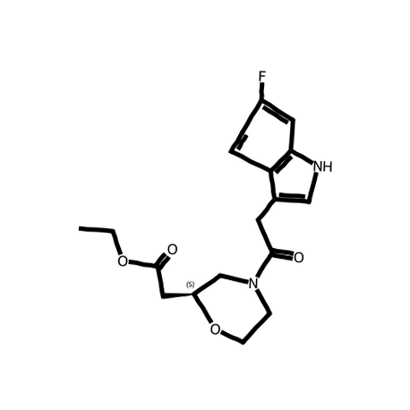 CCOC(=O)C[C@H]1CN(C(=O)Cc2c[nH]c3cc(F)ccc23)CCO1